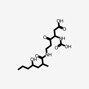 CCCC(O)CC(C)C(=O)NCCC(=O)C(CC(=O)O)NC(=O)O